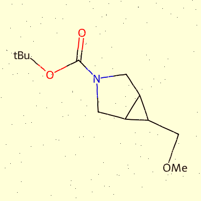 COCC1C2CN(C(=O)OC(C)(C)C)CC12